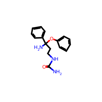 NC(=O)NCCC(N)(Oc1ccccc1)c1ccccc1